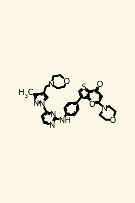 Cc1nn(-c2ccnc(Nc3ccc(-c4csc5c(=O)cc(N6CCOCC6)oc45)cc3)n2)cc1CN1CCOCC1